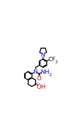 NC(=O)N(Cc1ccc(C(F)(F)F)c(N2CCCC2)c1)c1cccc2c1C[C@H](O)CC2